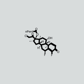 CCCCCC(=O)O[C@]1(C(=O)CCl)[C@@H](C)C[C@H]2[C@@H]3C[C@H](F)C4=C(F)C(=O)C=C[C@]4(C)[C@H]3[C@@H](O)C[C@@]21C